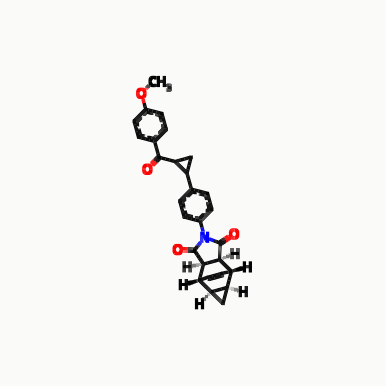 COc1ccc(C(=O)C2CC2c2ccc(N3C(=O)[C@@H]4[C@@H]5C=C[C@@H]([C@H]6C[C@@H]56)[C@@H]4C3=O)cc2)cc1